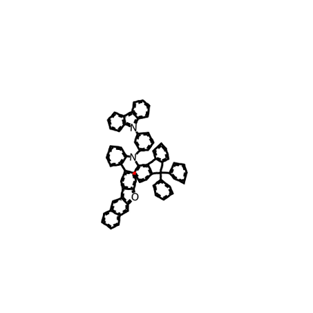 c1ccc(C2(c3ccccc3)c3ccccc3-c3c(N(c4cccc(-n5c6ccccc6c6ccccc65)c4)c4ccccc4-c4ccc5oc6cc7ccccc7cc6c5c4)cccc32)cc1